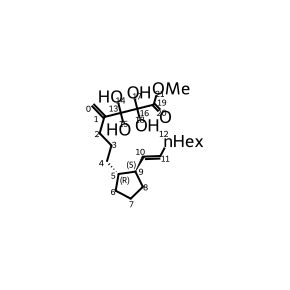 C=C(CCC[C@H]1CCC[C@@H]1C=CCCCCCC)C(O)(O)C(O)(O)C(=O)OC